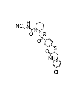 N#CCNC(=O)[C@H]1CCCC[C@@H]1CS(=O)(=O)c1ccc(SC(Cc2ccc(Cl)cc2)C(N)=O)cc1